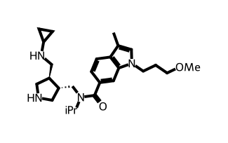 COCCCn1cc(C)c2ccc(C(=O)N(C[C@@H]3CNC[C@H]3CNC3CC3)C(C)C)cc21